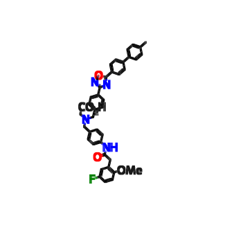 COc1ccc(F)cc1CC(=O)Nc1ccc(CN(CC(=O)O)Cc2ccc(-c3noc(-c4ccc(-c5ccc(C)cc5)cc4)n3)cc2)cc1